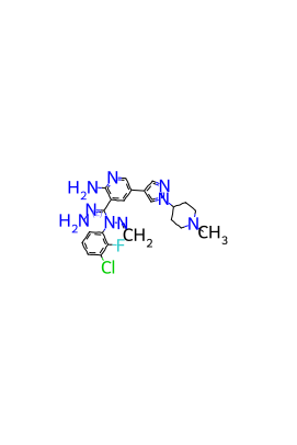 C=NN(/C(=N\N)c1cc(-c2cnn(C3CCN(C)CC3)c2)cnc1N)c1cccc(Cl)c1F